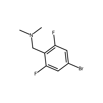 CN(C)Cc1c(F)cc(Br)cc1F